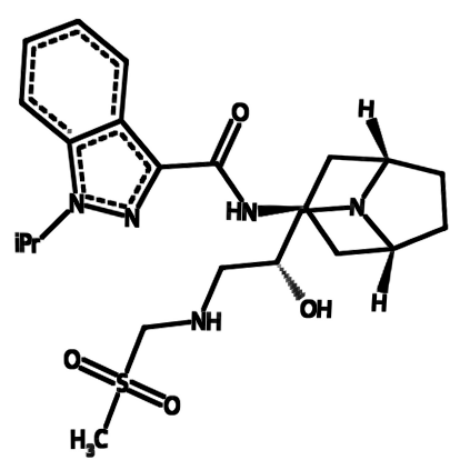 CC(C)n1nc(C(=O)N[C@@H]2C[C@H]3CC[C@@H](C2)N3C[C@H](O)CNCS(C)(=O)=O)c2ccccc21